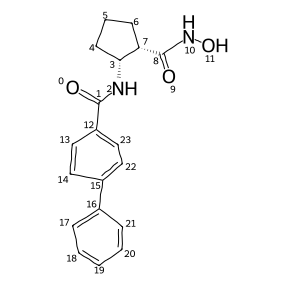 O=C(N[C@@H]1CCC[C@@H]1C(=O)NO)c1ccc(-c2ccccc2)cc1